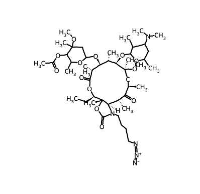 CC[C@H]1OC(=O)[C@H](C)[C@@H](OC2CC(C)(OC)C(OC(C)=O)C(C)O2)[C@H](C)[C@@H](OC2OC(C)CC(N(C)C)C2C)[C@@](C)(OC)C[C@@H](C)C(=O)[C@H](C)[C@H]2N(CCCCN=[N+]=[N-])C(=O)O[C@]12C